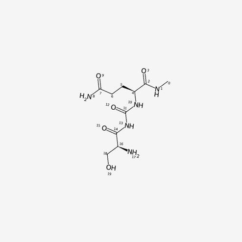 CNC(=O)[C@H](CCC(N)=O)NC(=O)NC(=O)[C@@H](N)CO